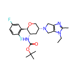 CCn1c(C)nc2c1CN([C@H]1CO[C@H](c3cc(F)ccc3F)[C@@H](NC(=O)OC(C)(C)C)C1)C2